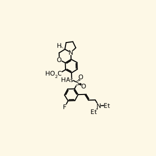 CCN(CC)CC=Cc1cc(F)ccc1S(=O)(=O)[AsH]c1ccc2c(c1C(=O)O)OC[C@H]1CCCN21